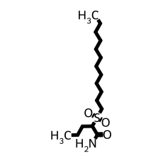 CCCCCCCCCCCCS(=O)(=O)C(CCC)C(N)=O